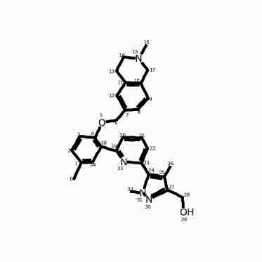 Cc1ccc(OCc2ccc3c(c2)CCN(C)C3)c(-c2cccc(-c3c(C)c(CO)nn3C)n2)c1